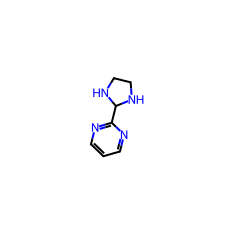 c1cnc(C2NCCN2)nc1